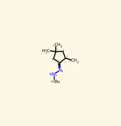 CC1CC(C)(C)CC1=NNC(C)(C)C